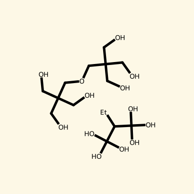 CCC(C(O)(O)O)C(O)(O)O.OCC(CO)(CO)COCC(CO)(CO)CO